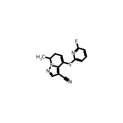 CC1CC=C(Sc2cccc(F)n2)c2c(C#N)cnn21